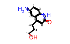 Nc1ccc2[nH]c(=O)cc(CCCO)c2c1